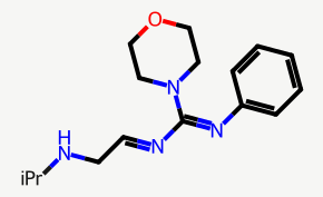 CC(C)NCC=NC(=Nc1ccccc1)N1CCOCC1